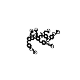 CCC(Cc1cc(Cc2ccc(OCC3CO3)cc2)ccc1OCC1CO1)c1cc(Cc2ccc(OCC3CO3)cc2)cc(CC(C)(CC)c2cc(OCc3ccc(OCC4CO4)cc3)ccc2CCC2CO2)c1OCC1CO1